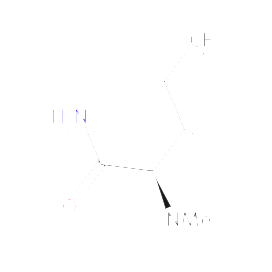 CN[C@H](CCC(F)(F)F)C(N)=O